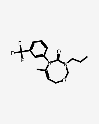 CCCN1COC/C=C(/C)N(c2cccc(C(F)(F)F)c2)C1=O